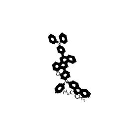 CC1(C)c2ccccc2-c2ccc(N(c3ccccc3)c3ccc4c(c3)Oc3cccc5c3c-4cc3c4ccccc4c(-c4ccc(N(c6ccccc6)c6ccccc6)cc4)cc53)cc21